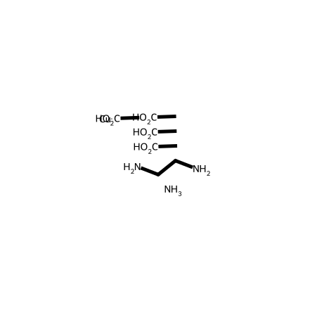 CC(=O)O.CC(=O)O.CC(=O)O.CC(=O)O.N.NCCN.[Cu]